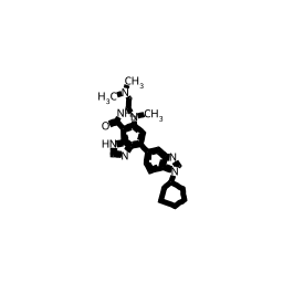 CN(C)CCN(C)c1cc(-c2ccc3c(c2)ncn3C2CCCCC2)c2nc[nH]c2c1C(N)=O